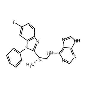 C[C@@H](CNc1ncnc2[nH]cnc12)c1nc2ccc(F)cc2n1-c1ccccc1